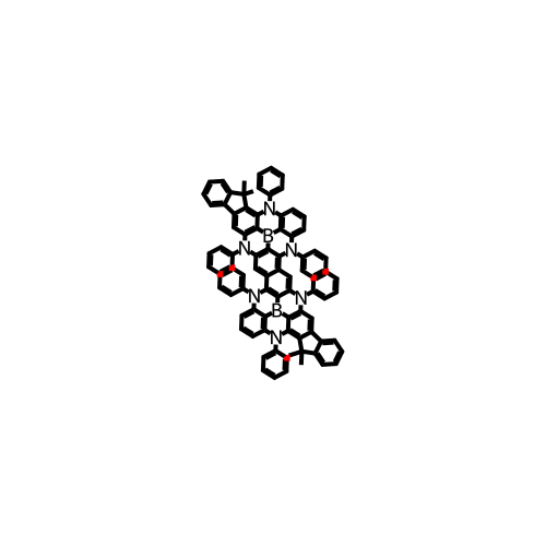 CC1(C)c2ccccc2-c2cc3c4c(c21)N(c1ccccc1)c1cccc2c1B4c1c(cc4c5c6c(cc4c1N2c1ccccc1)N(c1ccccc1)c1cc2c(c4c1B6c1c(cccc1N5c1ccccc1)N4c1ccccc1)C(C)(C)c1ccccc1-2)N3c1ccccc1